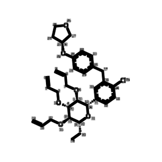 C=CCO[C@@H]1[C@@H](OCC=C)[C@H](c2ccc(Cl)c(Cc3ccc(O[C@H]4CCOC4)cc3)c2)O[C@H](CC)[C@H]1OCC=C